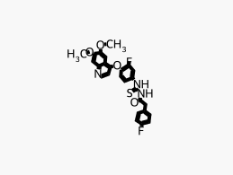 COc1cc2nccc(Oc3ccc(NC(=S)NC(=O)Cc4ccc(F)cc4)cc3F)c2cc1OC